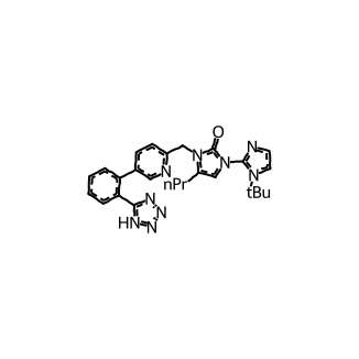 CCCc1cn(-c2nccn2C(C)(C)C)c(=O)n1Cc1ccc(-c2ccccc2-c2nnn[nH]2)cn1